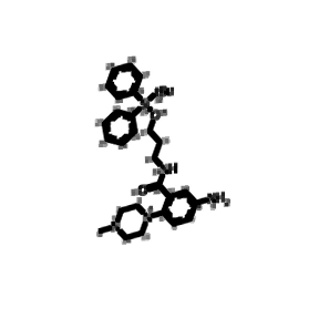 CN1CCN(c2ccc(N)cc2C(=O)NCCCO[Si](c2ccccc2)(c2ccccc2)C(C)(C)C)CC1